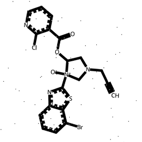 C#CCN1CC(OC(=O)c2cccnc2Cl)[N+]([O-])(c2nc3cccc(Br)c3s2)C1